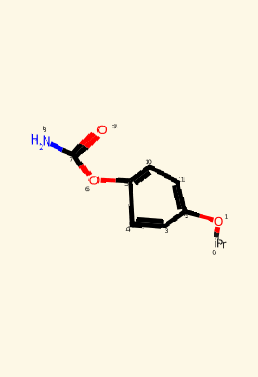 CC(C)Oc1ccc(OC(N)=O)cc1